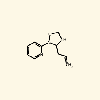 C=CCC1NCON1c1ccccn1